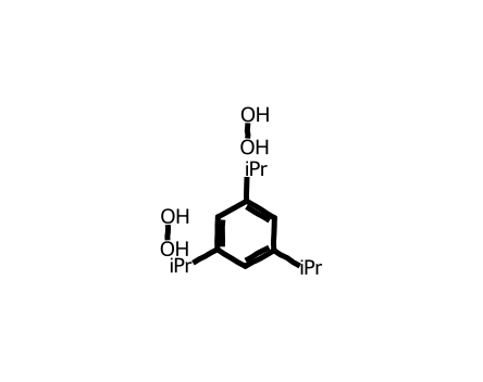 CC(C)c1cc(C(C)C)cc(C(C)C)c1.OO.OO